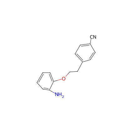 N#Cc1ccc(CCOc2ccccc2N)cc1